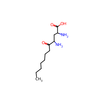 CCCCCCCC(=O)C(N)CC(N)C(=O)O